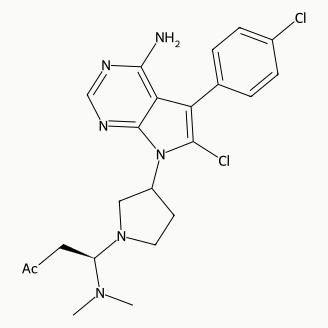 CC(=O)C[C@H](N(C)C)N1CCC(n2c(Cl)c(-c3ccc(Cl)cc3)c3c(N)ncnc32)C1